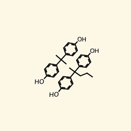 CC(C)(c1ccc(O)cc1)c1ccc(O)cc1.CCCC(C)(c1ccc(O)cc1)c1ccc(O)cc1